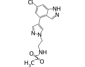 CS(=O)(=O)NCCn1cc(-c2cc(Cl)cc3[nH]ncc23)cn1